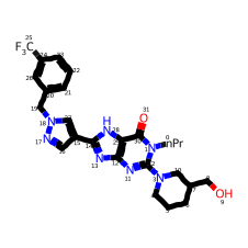 CCCn1c(N2CCCC(CO)C2)nc2nc(-c3cnn(Cc4cccc(C(F)(F)F)c4)c3)[nH]c2c1=O